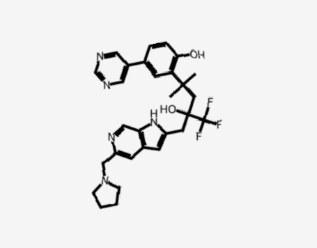 CC(C)(CC(O)(Cc1cc2cc(CN3CCCC3)ncc2[nH]1)C(F)(F)F)c1cc(-c2cncnc2)ccc1O